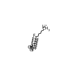 CCCCCCC(F)C(F)(F)C(F)(F)C(F)(F)C(F)(F)C(F)(F)S(=O)(=O)[O-].[Li+]